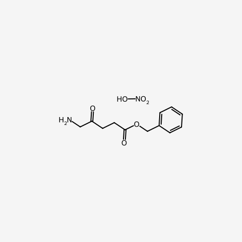 NCC(=O)CCC(=O)OCc1ccccc1.O=[N+]([O-])O